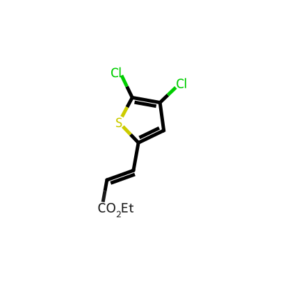 CCOC(=O)C=Cc1cc(Cl)c(Cl)s1